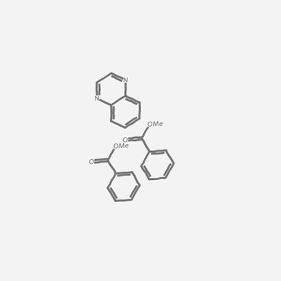 COC(=O)c1ccccc1.COC(=O)c1ccccc1.c1ccc2nccnc2c1